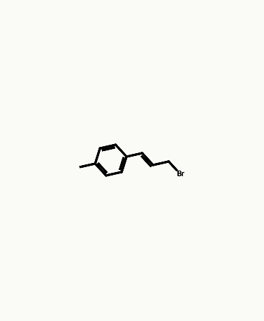 Cc1ccc(C=CCBr)cc1